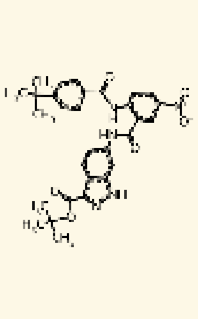 CC(C)(C)OC(=O)c1n[nH]c2cc(NC(=O)c3cc([N+](=O)[O-])ccc3NC(=O)c3ccc(C(C)(C)C)cc3)ccc12